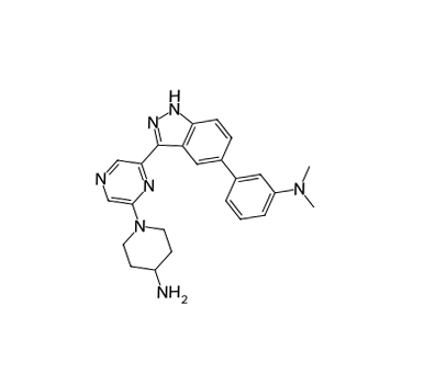 CN(C)c1cccc(-c2ccc3[nH]nc(-c4cncc(N5CCC(N)CC5)n4)c3c2)c1